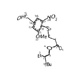 CCCCC(CC)COC(=O)CCSc1c(OC)cc(C=O)cc1[N+](=O)[O-]